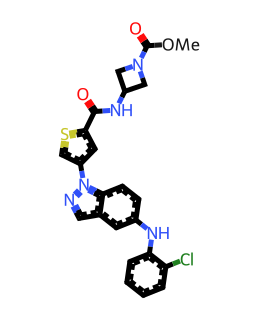 COC(=O)N1CC(NC(=O)c2cc(-n3ncc4cc(Nc5ccccc5Cl)ccc43)cs2)C1